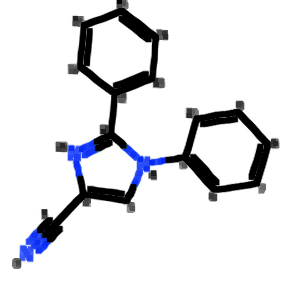 N#Cc1cn(-c2ccccc2)c(-c2ccccc2)n1